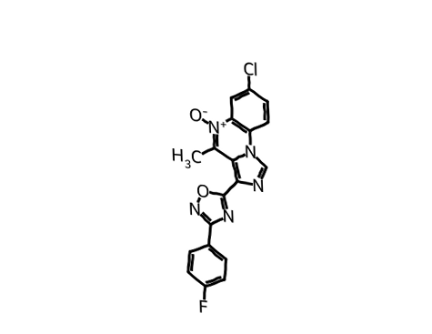 Cc1c2c(-c3nc(-c4ccc(F)cc4)no3)ncn2c2ccc(Cl)cc2[n+]1[O-]